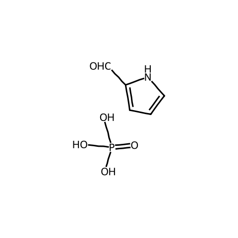 O=Cc1ccc[nH]1.O=P(O)(O)O